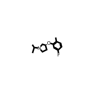 Cc1ccc(F)cc1O[C@@H]1CCN(C(C)C)C1